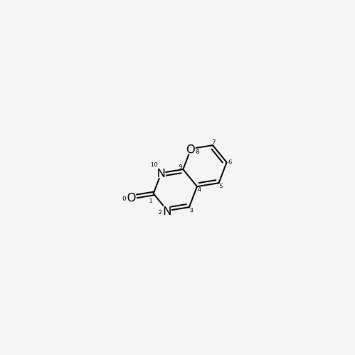 O=c1ncc2cccoc-2n1